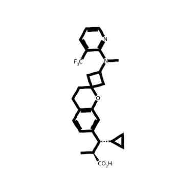 C[C@H](C(=O)O)[C@H](c1ccc2c(c1)OC1(CC2)CC(N(C)c2ncccc2C(F)(F)F)C1)C1CC1